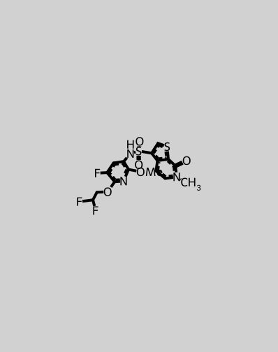 COc1nc(OCC(F)F)c(F)cc1NS(=O)(=O)c1csc2c(=O)n(C)ccc12